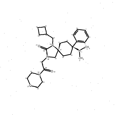 CN(C)[C@]1(c2ccccc2)CC[C@@]2(CC1)CN(CC(=O)N1CCOCC1)C(=O)N2CC1CCC1